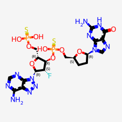 Nc1nc2c(ncn2[C@H]2CC[C@@H](COP(O)(=S)O[C@H]3[C@H](F)[C@H](n4nnc5c(N)ncnc54)O[C@@H]3COP(O)(O)=S)O2)c(=O)[nH]1